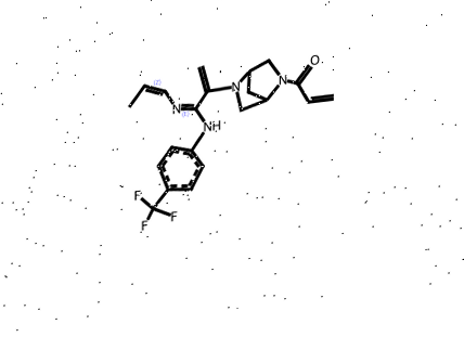 C=CC(=O)N1CC2CC1CN2C(=C)/C(=N\C=C/C)Nc1ccc(C(F)(F)F)cc1